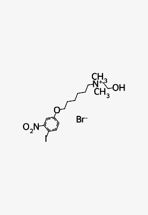 C[N+](C)(CCO)CCCCCCOc1ccc(I)c([N+](=O)[O-])c1.[Br-]